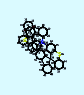 c1ccc(C2(c3ccccc3)c3ccccc3-c3cccc(N(c4ccc5c(c4)C4(c6ccccc6S5)c5ccccc5-c5ccccc54)c4cccc5sc6ccccc6c45)c32)cc1